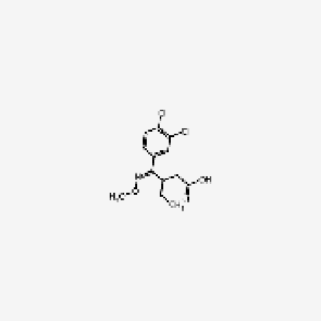 CCC(CC(=O)O)/C(=N\OC)c1ccc(Cl)c(Cl)c1